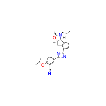 C=C1O[C@@H]2Cc3c(C4=NCC(c5ccc(OC(C)C)c(C#N)c5)=N4)cccc3[C@@H]2N1CCC